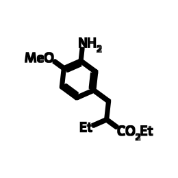 CCOC(=O)C(CC)Cc1ccc(OC)c(N)c1